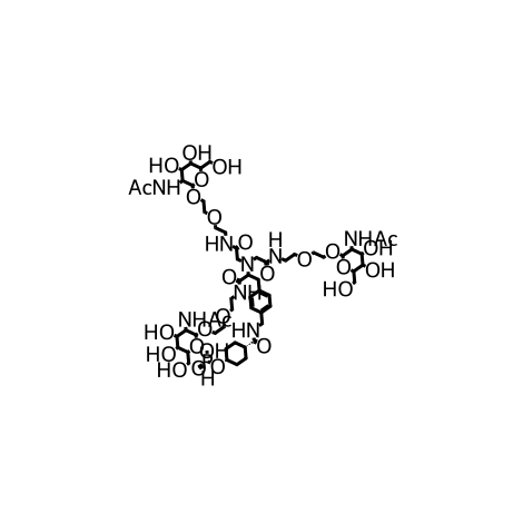 CC(=O)NC1C(OCCOCCNC(=O)CN(CC(=O)NCCOCCOC2OC(CO)C(O)C(O)C2NC(C)=O)C(Cc2ccc(CNC(=O)[C@H]3CC[C@@H](O[PH](=O)O)CC3)cc2)C(=O)NCCOCCOC2OC(CO)C(O)C(O)C2NC(C)=O)OC(CO)C(O)C1O